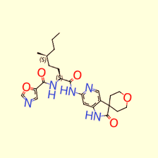 CCC[C@H](C)CC[C@H](NC(=O)c1cnco1)C(=O)Nc1cc2c(cn1)C1(CCOCC1)C(=O)N2